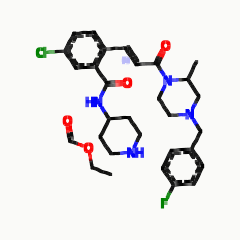 CC1CN(Cc2ccc(F)cc2)CCN1C(=O)/C=C/c1ccc(Cl)cc1C(=O)NC1CCNCC1.CCOC=O